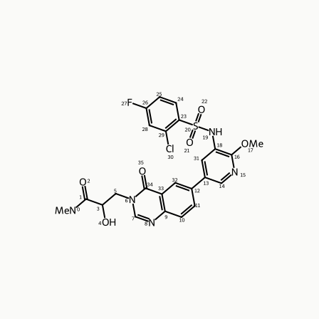 CNC(=O)C(O)Cn1cnc2ccc(-c3cnc(OC)c(NS(=O)(=O)c4ccc(F)cc4Cl)c3)cc2c1=O